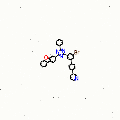 Brc1cc(-c2ccc(-c3cccnc3)cc2)cc(-c2nc(-c3ccccc3)nc(-c3ccc4c(c3)oc3ccccc34)n2)c1